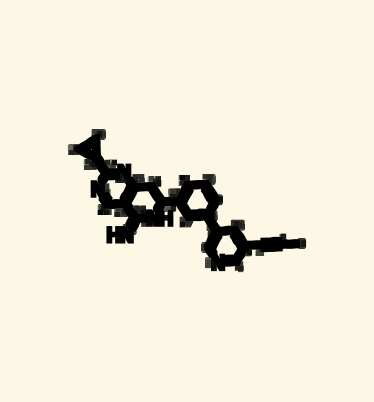 CC#Cc1cncc(-c2cccc(C3Cc4nc(C5CC5)ncc4C(=N)N3)c2)c1